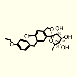 CCOc1ccc(Cc2cc3c(cc2Cl)CO[C@]32O[C@H](C)[C@@H](O)[C@H](O)[C@H]2O)cc1